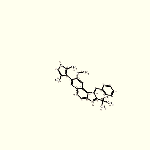 COc1cc2c(cc1-c1c(C)noc1C)ncc1nc(C(C)(C)C)n(Cc3ccccc3)c12